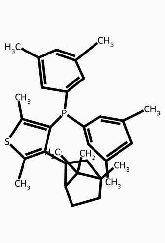 [CH2]C1([CH2])C2CCC1(C)CC2c1c(C)sc(C)c1P(c1cc(C)cc(C)c1)c1cc(C)cc(C)c1